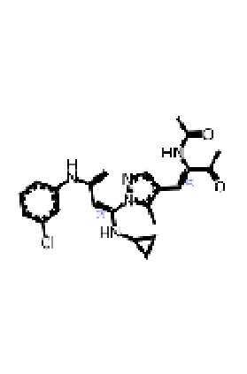 C=C(/C=C(/NC1CC1)n1ncc(/C=C(\NC(C)=O)C(C)=O)c1C)Nc1cccc(Cl)c1